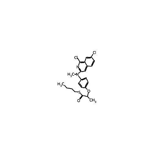 CCCCSC(=O)C(C)Oc1ccc(N(C)c2cc3ccc(Cl)cc3c(Cl)n2)cc1